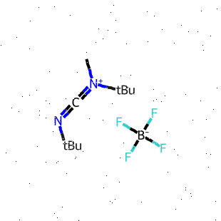 C[N+](=C=NC(C)(C)C)C(C)(C)C.F[B-](F)(F)F